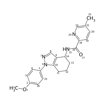 COc1ccc(-n2ncc3c2CCCC3NC(=O)c2ccc(C)cn2)cc1